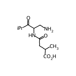 CC(C)C(=O)C(CN)NC(=O)CC(C)C(=O)O